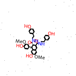 COc1cc([C@@H]2c3cc(O)c(OC)cc3C=C(C(=O)NCCc3ccc(O)cc3)[C@H]2C(=O)NCCc2ccc(O)cc2)ccc1O